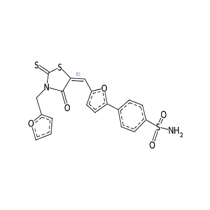 NS(=O)(=O)c1ccc(-c2ccc(/C=C3/SC(=S)N(Cc4ccco4)C3=O)o2)cc1